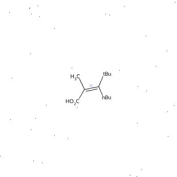 CCCC/C(=C(/C)C(=O)O)C(C)(C)C